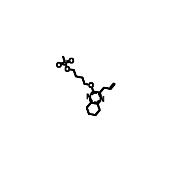 C=CCc1nc2c(nc1OCCCCOS(C)(=O)=O)CCCC2